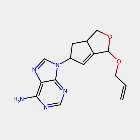 C=CCOC1OCC2CC(n3cnc4c(N)ncnc43)C=C21